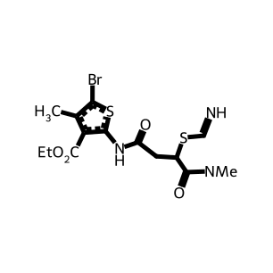 CCOC(=O)c1c(NC(=O)CC(SC=N)C(=O)NC)sc(Br)c1C